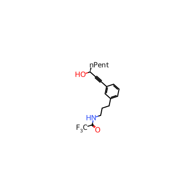 CCCCC[C@H](O)C#Cc1cccc(CCCNC(=O)C(F)(F)F)c1